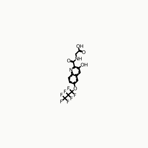 O=C(O)CNC(=O)c1nc2ccc(OC(F)(F)C(F)(F)C(F)(F)F)cc2cc1O